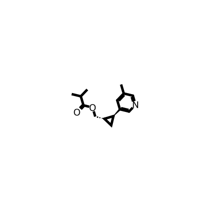 Cc1cncc([C@H]2C[C@@H]2COC(=O)C(C)C)c1